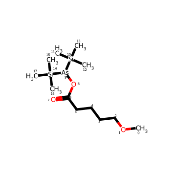 COCCCCC(=O)O[As]([Si](C)(C)C)[Si](C)(C)C